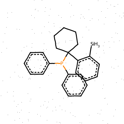 [SiH3]c1ccccc1C1(P(c2ccccc2)c2ccccc2)CCCCC1